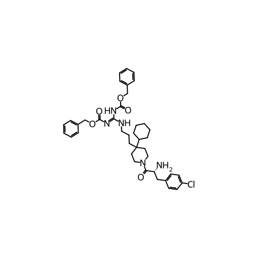 N[C@H](Cc1ccc(Cl)cc1)C(=O)N1CCC(CCCNC(=NC(=O)OCc2ccccc2)NC(=O)OCc2ccccc2)(C2CCCCC2)CC1